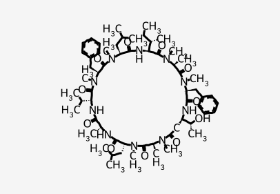 CC[C@H](C)[C@@H]1NC(=O)[C@H](CC(C)C)N(C)C(=O)[C@H](Cc2ccccc2)N(C)C(=O)[C@@H](C(C)C)NC(=O)[C@@H](C)NC(=O)[C@@H](CC(C)C)N(C)C(=O)[C@H](C)N(C)C(=O)C[C@H]([C@@H](C)O)NC(=O)[C@H](Cc2ccccc2)N(C)C(=O)[C@H](C)N(C)C1=O